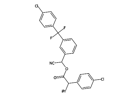 CC(C)C(C(=O)OC(C#N)c1cccc(C(F)(F)c2ccc(Cl)cc2)c1)c1ccc(Cl)cc1